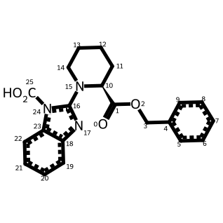 O=C(OCc1ccccc1)[C@@H]1CCCCN1c1nc2ccccc2n1C(=O)O